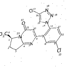 O=C(O)[C@@H]1CCc2nc(-c3cc(Cl)ccc3-n3cc(Cl)nn3)cc(=O)n21